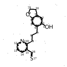 Oc1cc2c(cc1CCCc1ncccc1C=S)OCC2